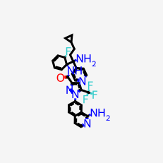 Nc1nccc2ccc(-n3nc(C(=O)NC4(C(N)(CCC5CC5)c5ccncc5)C=CC=CC4F)cc3C(F)(F)F)cc12